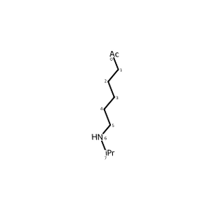 CC(=O)CCCCCNC(C)C